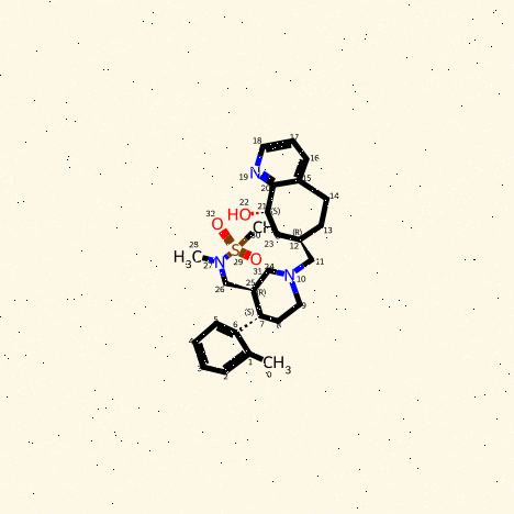 Cc1ccccc1[C@H]1CCN(C[C@@H]2CCc3cccnc3[C@@H](O)C2)C[C@@H]1CN(C)S(C)(=O)=O